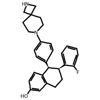 Oc1ccc2c(c1)CC[C@H](c1ccccc1F)[C@@H]2c1ccc(N2CCC3(CC2)CNC3)cc1